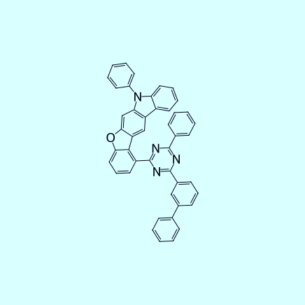 c1ccc(-c2cccc(-c3nc(-c4ccccc4)nc(-c4cccc5oc6cc7c(cc6c45)c4ccccc4n7-c4ccccc4)n3)c2)cc1